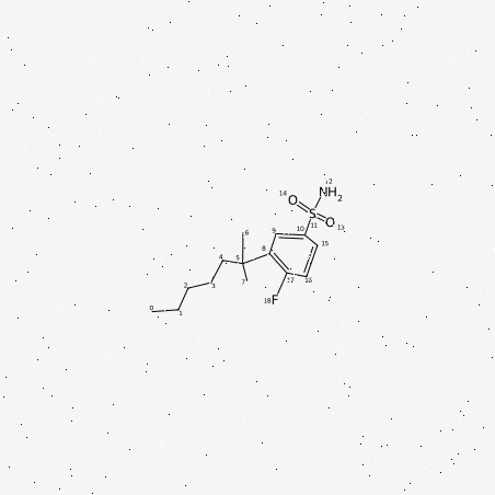 CCCCCC(C)(C)c1cc(S(N)(=O)=O)ccc1F